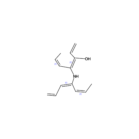 C=C/C=C(\C=C/C)NC(/C=C\C)=C(\O)C=C